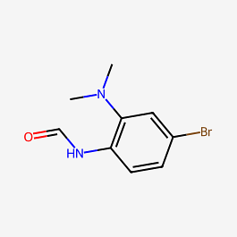 CN(C)c1cc(Br)ccc1NC=O